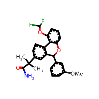 COc1cccc(C2Oc3cccc(OC(F)F)c3-c3ccc(C(C)(C)C(N)=O)cc32)c1